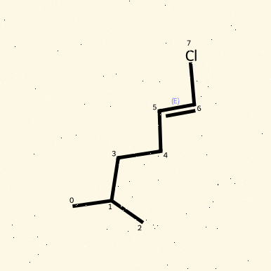 CC(C)CC/C=C/Cl